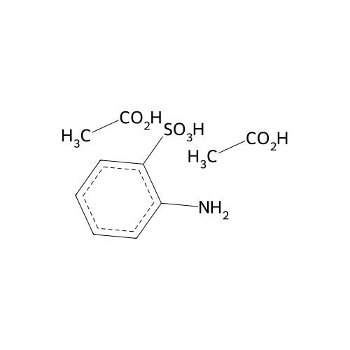 CC(=O)O.CC(=O)O.Nc1ccccc1S(=O)(=O)O